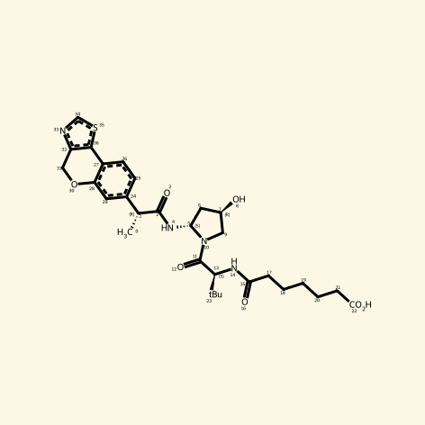 C[C@@H](C(=O)N[C@@H]1C[C@@H](O)CN1C(=O)[C@@H](NC(=O)CCCCCC(=O)O)C(C)(C)C)c1ccc2c(c1)OCc1ncsc1-2